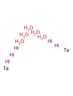 I.I.I.I.I.O.O.O.O.O.[Ta].[Ta]